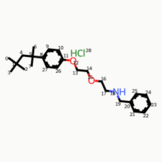 CC(C)(C)CC(C)(C)c1ccc(OCCOCCNCc2ccccc2)cc1.Cl